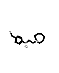 Cl.ClCc1ccc(OCCN2CCCCCC2)cc1